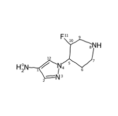 Nc1cnn(C2CCNCC2F)c1